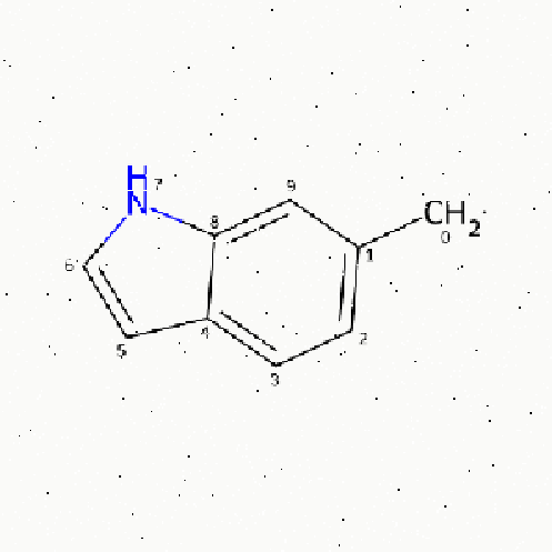 [CH2]c1ccc2cc[nH]c2c1